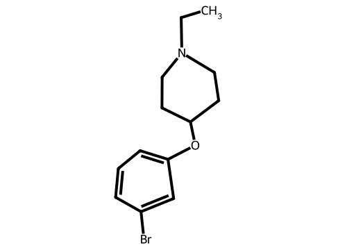 CCN1CCC(Oc2cccc(Br)c2)CC1